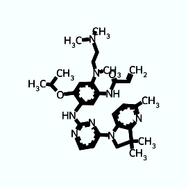 C=CC(=O)Nc1cc(Nc2nccc(N3CC(C)(C)c4nc(C)ccc43)n2)c(OC(C)C)cc1N(C)CCN(C)C